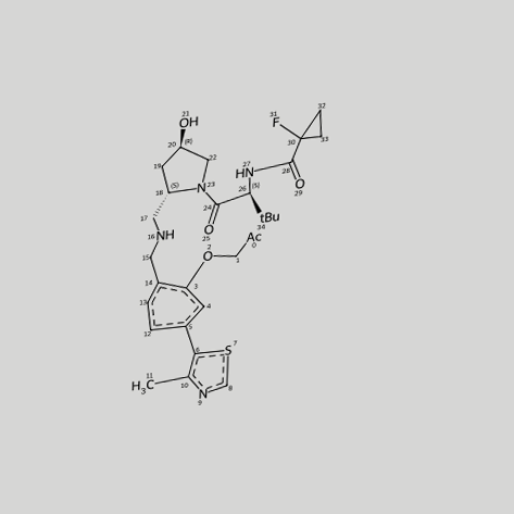 CC(=O)COc1cc(-c2scnc2C)ccc1CNC[C@@H]1C[C@@H](O)CN1C(=O)[C@@H](NC(=O)C1(F)CC1)C(C)(C)C